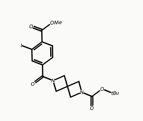 COC(=O)c1ccc(C(=O)N2CC3(CN(C(=O)OC(C)(C)C)C3)C2)cc1I